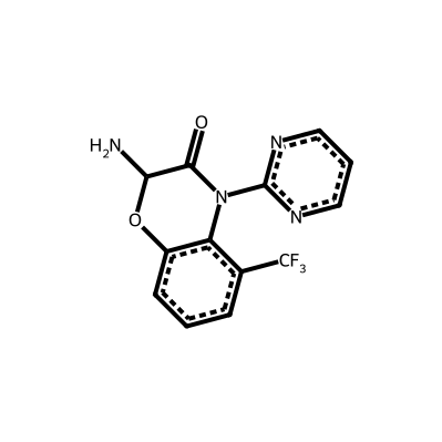 NC1Oc2cccc(C(F)(F)F)c2N(c2ncccn2)C1=O